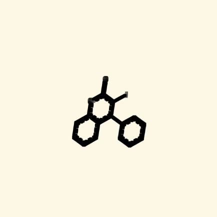 O=c1oc2ccccc2c(-c2ccccc2)c1I